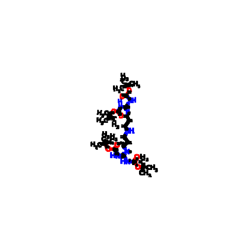 CC(C)(C)OC(=O)NC(=NCCCNCCCN=C(NC(=O)OC(C)(C)C)NC(=O)OC(C)(C)C)NC(=O)OC(C)(C)C